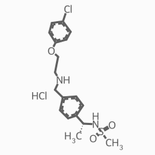 C[C@@H](NS(C)(=O)=O)c1ccc(CNCCOc2ccc(Cl)cc2)cc1.Cl